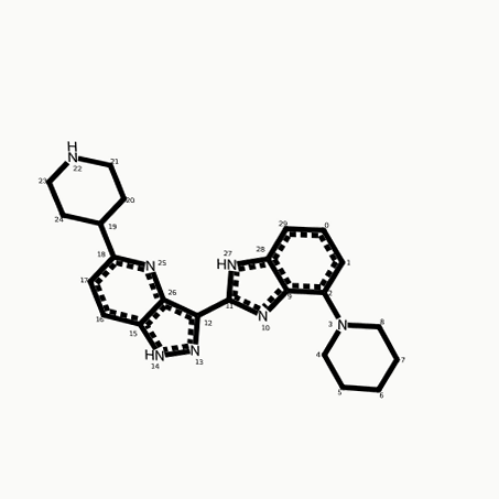 c1cc(N2CCCCC2)c2nc(-c3n[nH]c4ccc(C5CCNCC5)nc34)[nH]c2c1